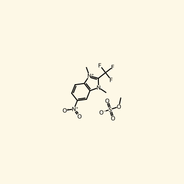 COS(=O)(=O)[O-].Cn1c(C(F)(F)F)[n+](C)c2ccc([N+](=O)[O-])cc21